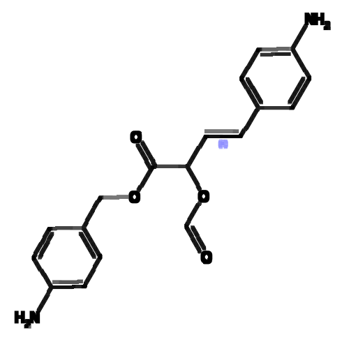 Nc1ccc(/C=C/C(OC=O)C(=O)OCc2ccc(N)cc2)cc1